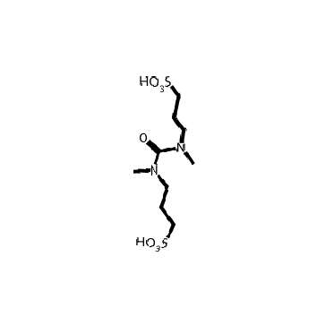 CN(CCCS(=O)(=O)O)C(=O)N(C)CCCS(=O)(=O)O